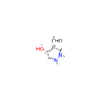 O=Cc1cnncc1O